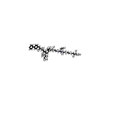 CCCCNC(=O)CCOCCOCCN/C=C(/COCCOCCS[C@]1(C(=O)O)CC[C@@H](NC(=O)CO)[C@H]([C@H](O)CCNC(=O)Cc2ccc(-c3ccccc3)cc2)O1)N=N